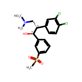 CN(C[C@H](c1ccc(Cl)c(Cl)c1)[C@H](O)c1cccc(S(C)(=O)=O)c1)C(=O)O